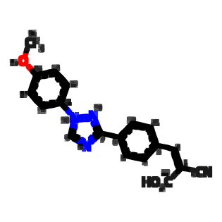 N#CC(=Cc1ccc(-c2ncn(-c3ccc(OC(F)(F)F)cc3)n2)cc1)C(=O)O